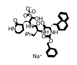 CC(C)C[C@H](NC(=O)[C@H](Cc1cccc2ccccc12)NC(=O)OCc1ccccc1)C(=O)N[C@@H](C[C@@H]1CCCNC1=O)C(O)S(=O)(=O)[O-].[Na+]